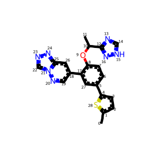 Cc1ccc(-c2ccc(OC(C)c3nc[nH]n3)c(-c3cnn4cnnc4c3)c2)s1